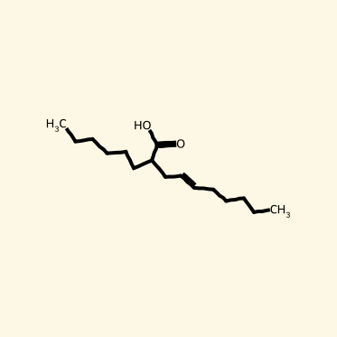 CCCCCC=CCC(CCCCCC)C(=O)O